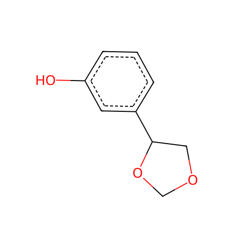 Oc1cccc(C2COCO2)c1